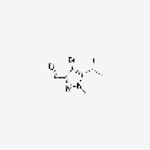 CC(C)c1c(Br)c(C=O)nn1C